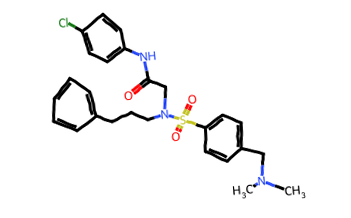 CN(C)Cc1ccc(S(=O)(=O)N(CCCc2ccccc2)CC(=O)Nc2ccc(Cl)cc2)cc1